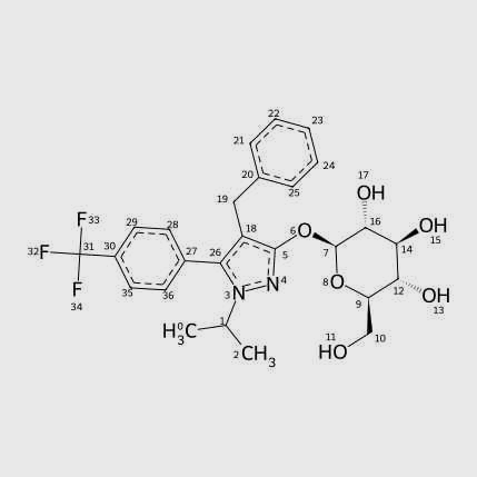 CC(C)n1nc(O[C@@H]2O[C@H](CO)[C@@H](O)[C@H](O)[C@H]2O)c(Cc2ccccc2)c1-c1ccc(C(F)(F)F)cc1